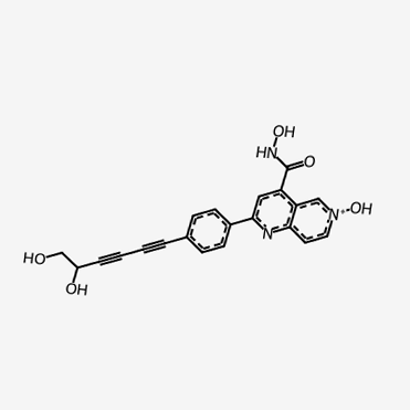 O=C(NO)c1cc(-c2ccc(C#CC#CC(O)CO)cc2)nc2cc[n+](O)cc12